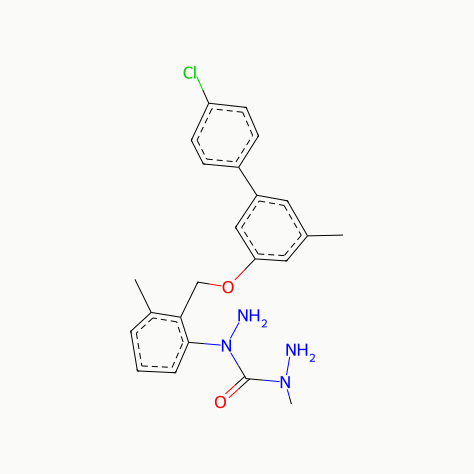 Cc1cc(OCc2c(C)cccc2N(N)C(=O)N(C)N)cc(-c2ccc(Cl)cc2)c1